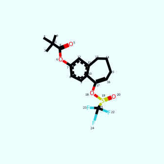 CC(C)(C)C(=O)Oc1ccc2c(c1)CCCC=C2OS(=O)C(F)(F)F